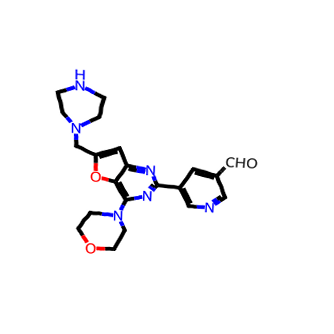 O=Cc1cncc(-c2nc(N3CCOCC3)c3oc(CN4CCNCC4)cc3n2)c1